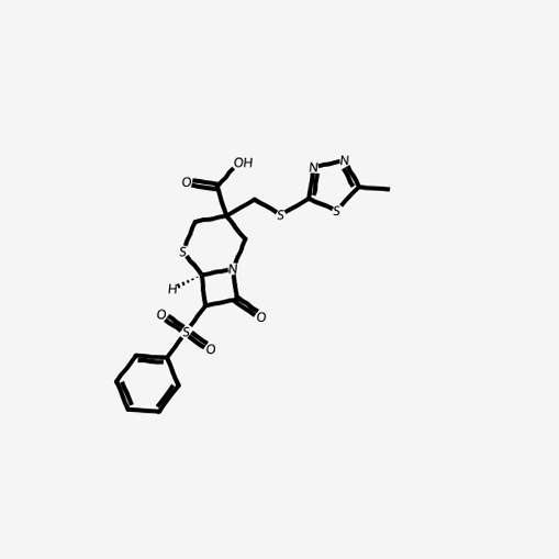 Cc1nnc(SCC2(C(=O)O)CS[C@@H]3C(S(=O)(=O)c4ccccc4)C(=O)N3C2)s1